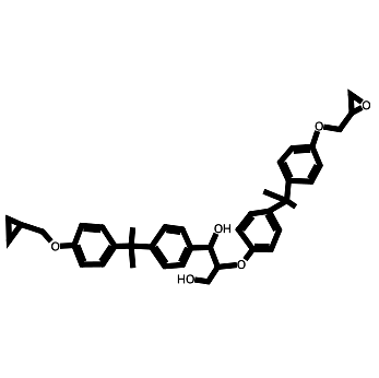 CC(C)(c1ccc(OCC2CO2)cc1)c1ccc(OC(CO)C(O)c2ccc(C(C)(C)c3ccc(OCC4CC4)cc3)cc2)cc1